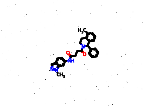 Cc1cccc2c1CCN(C(=O)CCC(=O)Nc1ccc3cnn(C)c3c1)C2c1ccccc1